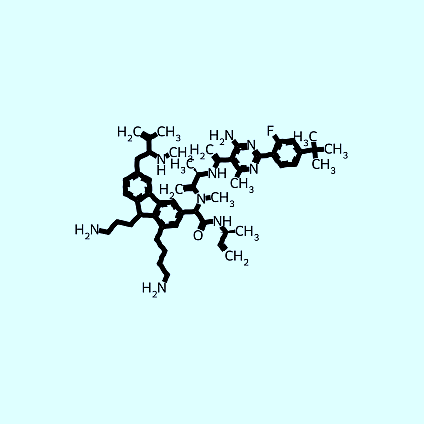 C=C[C@H](C)NC(=O)C(c1cc(CCCCN)c2c(c1)-c1cc(CC(NC)C(=C)C)ccc1C2CCCN)N(C)C(=C)[C@H](C)NC(=C)c1c(C)nc(-c2ccc(C(C)(C)C)cc2F)nc1N